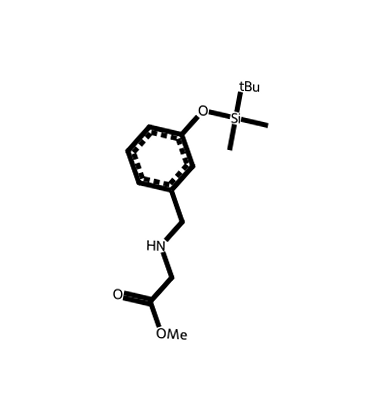 COC(=O)CNCc1cccc(O[Si](C)(C)C(C)(C)C)c1